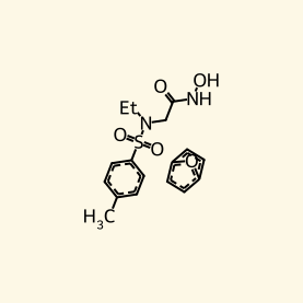 CCN(CC(=O)NO)S(=O)(=O)c1ccc(C)cc1.c1cc2ccc1o2